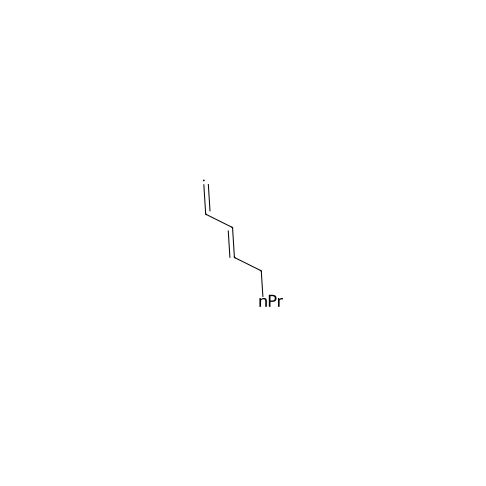 [CH]=C/C=C/CCCC